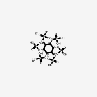 O=P([O-])([O-])OC1[C@@H](OP(=O)(O)O)[C@H](OP(=O)(O)O)C(OP(=O)(O)O)[C@H](OP(=O)(O)O)[C@@H]1OP(=O)(O)O.[K+].[K+]